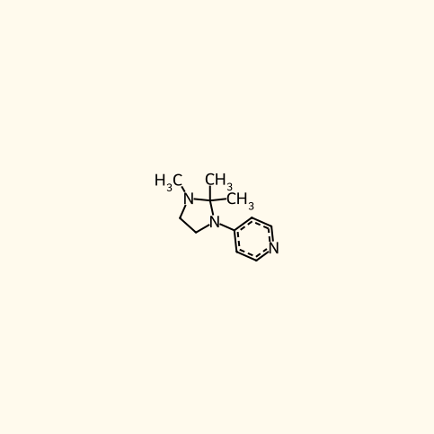 CN1CCN(c2ccncc2)C1(C)C